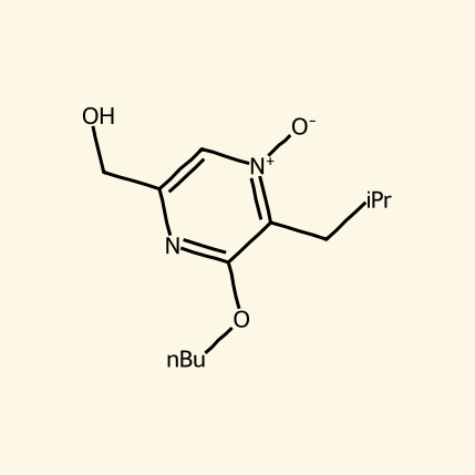 CCCCOc1nc(CO)c[n+]([O-])c1CC(C)C